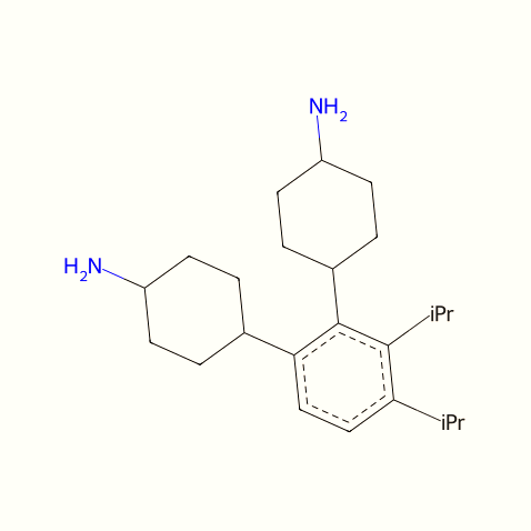 CC(C)c1ccc(C2CCC(N)CC2)c(C2CCC(N)CC2)c1C(C)C